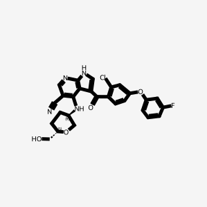 N#Cc1cnc2[nH]cc(C(=O)c3ccc(Oc4cccc(F)c4)cc3Cl)c2c1N[C@@H]1CC[C@@H](CO)OC1